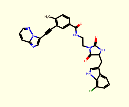 Cc1ccc(C(=O)NCCN2C(=O)NC(Cc3c[nH]c4c(Cl)cccc34)C2=O)cc1C#Cc1cnc2cccnn12